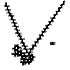 CCCCCCCCCCCCCCCCCCCCCCCCCCCCCC[C](CCCCCCCCCCCCCCCCCCCCCCCCCCCCCC)=[Zr+2]([C]1=CC=CC1)[c]1c2c(cc(C(C)(C)C)c1-c1ccccc1C)-c1cc(C(C)(C)C)c(-c3ccccc3C)cc1C2.[Cl-].[Cl-]